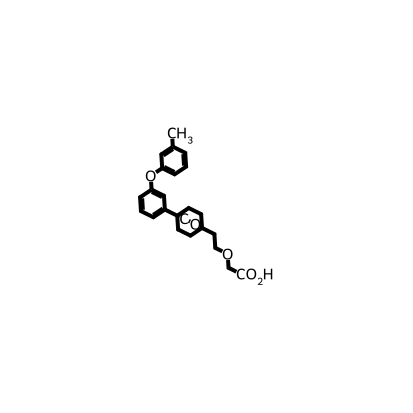 Cc1cccc(Oc2cccc(C34CCC(CCOCC(=O)O)(CC3)OC4)c2)c1